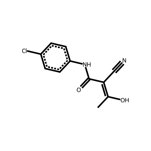 C/C(O)=C(/C#N)C(=O)Nc1ccc(Cl)cc1